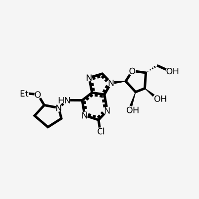 CCOC1CCCN1Nc1nc(Cl)nc2c1ncn2[C@H]1O[C@H](CO)[C@@H](O)[C@H]1O